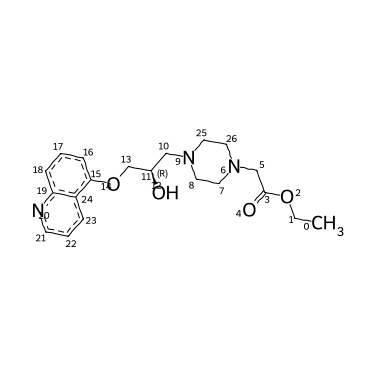 CCOC(=O)CN1CCN(C[C@@H](O)COc2cccc3ncccc23)CC1